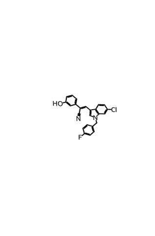 N#C/C(=C\c1cn(Cc2ccc(F)cc2)c2cc(Cl)ccc12)c1cccc(O)c1